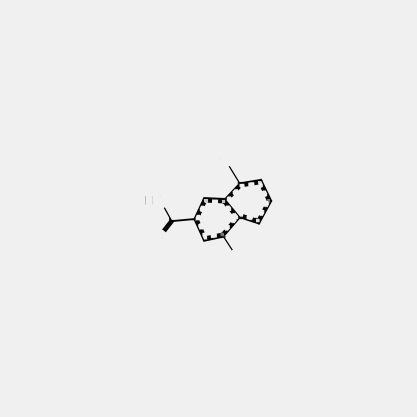 O=C(O)c1cc(O)c2cccc(O)c2c1